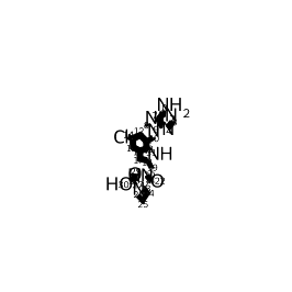 Nc1ncnc2c1ncn2Cc1cc(Cl)cc2cc(CNC(=O)[C@@H]3CCCN3C(=O)O)[nH]c12